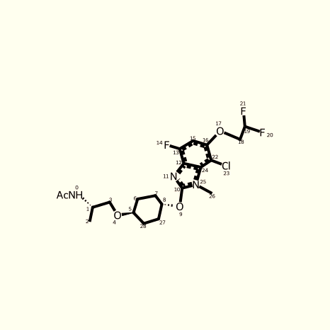 CC(=O)N[C@@H](C)CO[C@H]1CC[C@H](Oc2nc3c(F)cc(OCC(F)F)c(Cl)c3n2C)CC1